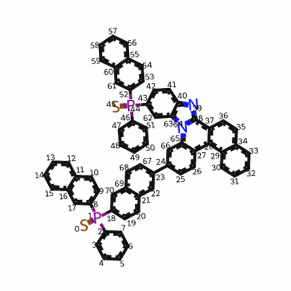 S=P(c1ccccc1)(c1ccc2ccccc2c1)c1ccc2cc(-c3ccc4c5c6ccccc6ccc5c5nc6ccc(P(=S)(c7ccccc7)c7ccc8ccccc8c7)cc6n5c4c3)ccc2c1